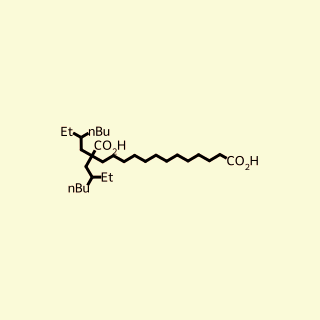 CCCCC(CC)CC(CCCCCCCCCCCCC(=O)O)(CC(CC)CCCC)C(=O)O